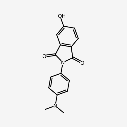 CN(C)c1ccc(N2C(=O)c3ccc(O)cc3C2=O)cc1